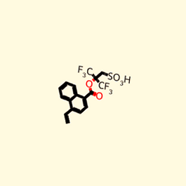 C=Cc1ccc(C(=O)OC(CS(=O)(=O)O)(C(F)(F)F)C(F)(F)F)c2ccccc12